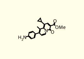 COC(=O)c1cc(C2CC2)c2c(C)c(-c3ccc(N)cc3)ccn2c1=O